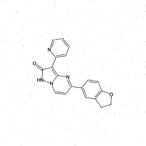 O=c1[nH]n2ccc(-c3ccc4c(c3)CCO4)nc2c1-c1ccccn1